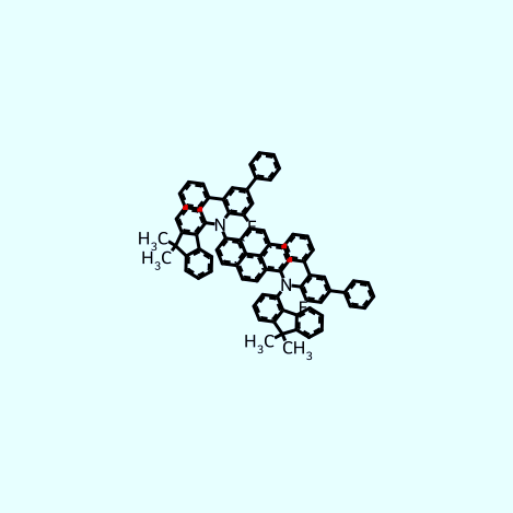 CC1(C)c2ccccc2-c2c(N(c3c(F)cc(-c4ccccc4)cc3-c3ccccc3)c3ccc4ccc5c(N(c6cccc7c6-c6ccccc6C7(C)C)c6c(F)cc(-c7ccccc7)cc6-c6ccccc6)ccc6ccc3c4c65)cccc21